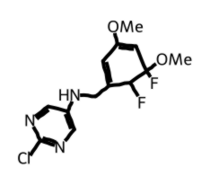 COC1=CC(F)(OC)C(F)C(CNc2cnc(Cl)nc2)=C1